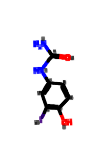 NC(=O)Nc1ccc(O)c(I)c1